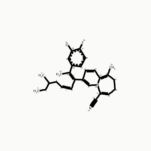 CCC(C)C/C=C\C(C1=CN2C(C#N)=CCCC(C)=C2C=C1)=C(/C)c1ccc(F)c(Cl)c1